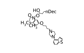 CCCCCCCCCCCCC(O)OCN1C(=O)CC(C)(C)c2ccc(OCCCCN3CCN(c4cccc5sccc45)CC3)cc21